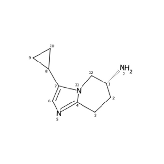 N[C@@H]1CCc2ncc(C3CC3)n2C1